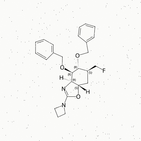 FC[C@H]1C[C@@H]2OC(N3CCC3)=N[C@H]2[C@@H](OCc2ccccc2)[C@@H]1OCc1ccccc1